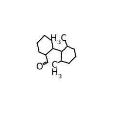 CC1CCCC(C)C1C1CCCCC1C=O